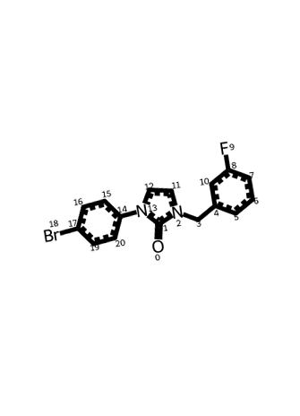 O=c1n(Cc2cccc(F)c2)ccn1-c1ccc(Br)cc1